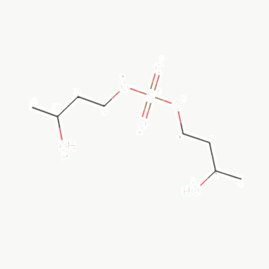 CC(O)CCOS(=O)(=O)OCCC(C)O